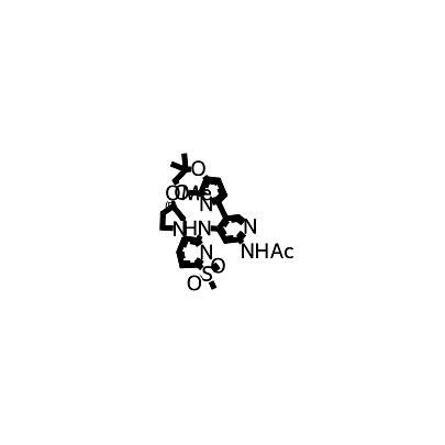 CO[C@@H]1CCN(c2ccc(S(C)(=O)=O)nc2Nc2cc(NC(C)=O)ncc2-c2ccc3c(n2)OCC(C)(C)O3)C1